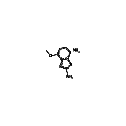 COc1cccc2sc(N)nc12.N